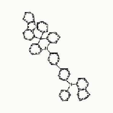 c1ccc(N(c2ccc(-c3ccc(N4c5ccccc5C(c5ccccc5)(c5cccc6c5sc5ccccc56)c5ccccc54)cc3)cc2)c2cccc3ccccc23)cc1